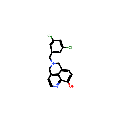 Oc1ccc2c3c(ccnc13)CN(Cc1cc(Cl)cc(Cl)c1)C2